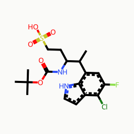 CC(c1cc(F)c(Cl)c2cc[nH]c12)C(CCS(=O)(=O)O)NC(=O)OC(C)(C)C